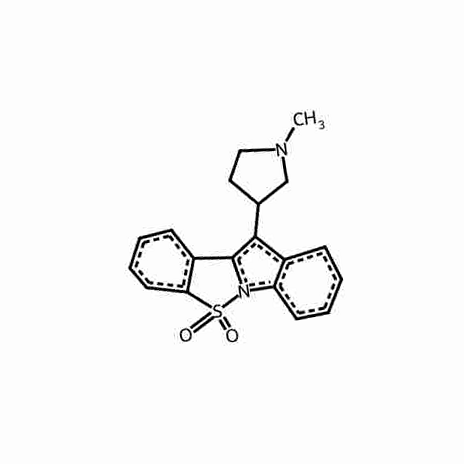 CN1CCC(c2c3n(c4ccccc24)S(=O)(=O)c2ccccc2-3)C1